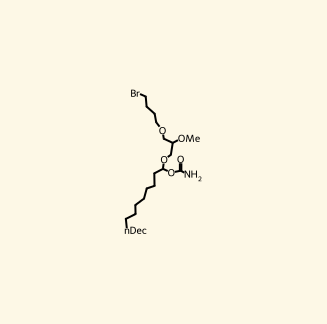 CCCCCCCCCCCCCCCCCC(OCC(COCCCCBr)OC)OC(N)=O